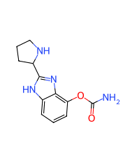 NC(=O)Oc1cccc2[nH]c(C3CCCN3)nc12